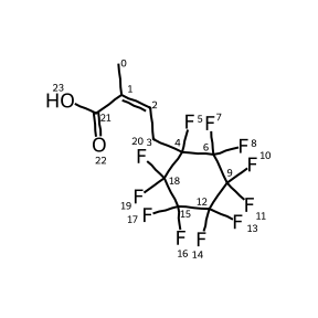 CC(=CCC1(F)C(F)(F)C(F)(F)C(F)(F)C(F)(F)C1(F)F)C(=O)O